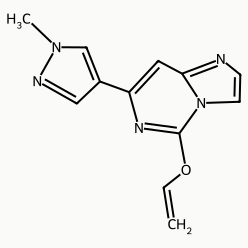 C=COc1nc(-c2cnn(C)c2)cc2nccn12